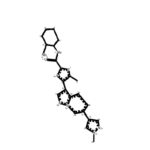 Cc1sc(C(=O)NC2CCCCC2N)nc1-c1cnn2cc(-c3cnn(C)c3)ccc12